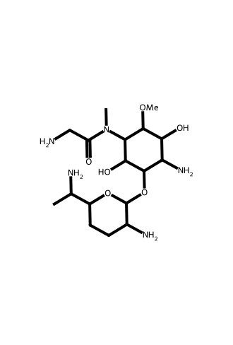 COC1C(O)C(N)C(OC2OC(C(C)N)CCC2N)C(O)C1N(C)C(=O)CN